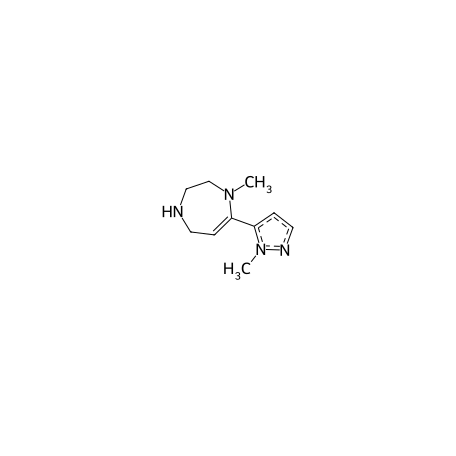 CN1CCNCC=C1c1ccnn1C